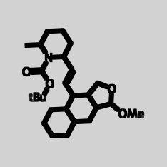 COC1OCC2C(C=CC3CCCC(C)N3C(=O)OC(C)(C)C)C3CCCCC3CC12